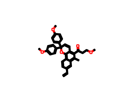 C=Cc1ccc2c3c(c(C(=O)CCOC)c(C)c2c1)C=CC(c1ccc(OC)cc1)(c1ccc(OC)cc1)O3